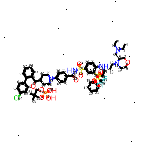 CCN(CC)C[C@H]1COCCN1CC[C@H](CSc1ccccc1)Nc1ccc(S(=O)(=O)NC(=O)c2ccc(N3CCC(C(OC(OP(=O)(O)O)C(C)(C)C)c4ccccc4-c4ccc(Cl)cc4)CC3)cc2)cc1S(=O)(=O)C(F)(F)F